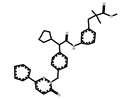 COC(=O)C(C)(C)Cc1cccc(NC(=O)C(c2ccc(Cn3nc(-c4ccccc4)ccc3=O)cc2)C2CCCC2)c1